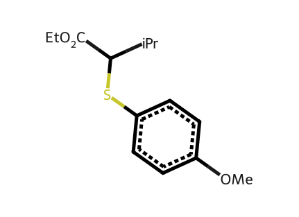 CCOC(=O)C(Sc1ccc(OC)cc1)C(C)C